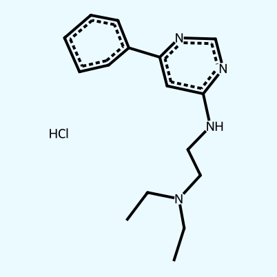 CCN(CC)CCNc1cc(-c2ccccc2)ncn1.Cl